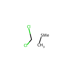 CSC.ClCCl